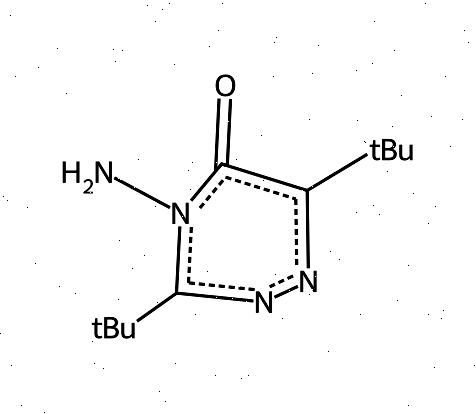 CC(C)(C)c1nnc(C(C)(C)C)n(N)c1=O